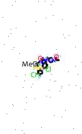 C=CC(=O)N1CCN(c2nc(=O)n3c4c(cc(Cl)cc24)[SH](c2cc(Cl)c(F)cc2F)C[C@@H](OC)C3)[C@@H](C)C1